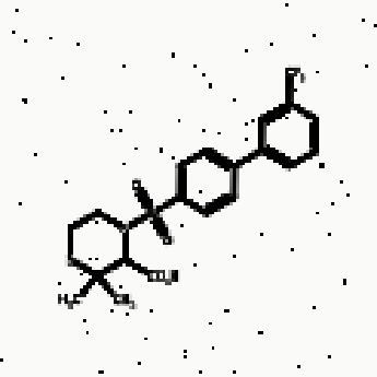 CC1(C)SCCN(S(=O)(=O)c2ccc(-c3cccc(C(F)(F)F)c3)cc2)C1C(=O)O